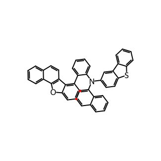 c1ccc(N(c2ccc3sc4ccccc4c3c2)c2cccc3ccccc23)c(-c2cccc3oc4c5ccccc5ccc4c23)c1